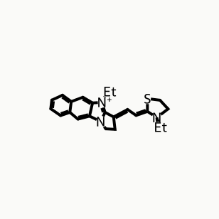 CCN1CCSC1=CC=C1CCn2c1[n+](CC)c1cc3ccccc3cc12